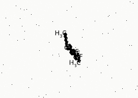 CCCCCCCC1CCC(c2ccc(-c3ccc(CC)c(F)c3F)c(F)c2)CO1